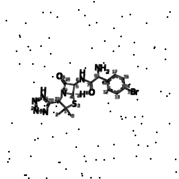 CC1(C)S[C@@H]2C(NC(=O)C(N)c3ccc(Br)cc3)C(=O)N2C1c1nnn[nH]1